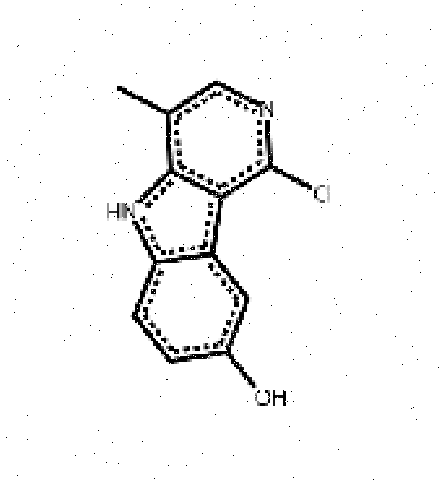 Cc1cnc(Cl)c2c1[nH]c1ccc(O)cc12